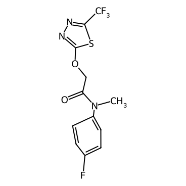 CN(C(=O)COc1nnc(C(F)(F)F)s1)c1ccc(F)cc1